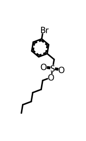 CCCCCCOS(=O)(=O)Cc1cccc(Br)c1